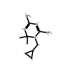 CC1(C)N=C(N)N=C(N)N1CC1CC1